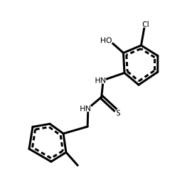 Cc1ccccc1CNC(=S)Nc1cccc(Cl)c1O